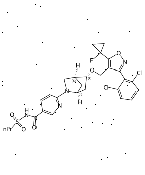 CCCS(=O)(=O)NC(=O)c1ccc(N2C[C@@H]3C[C@H]2C[C@H]3OCc2c(-c3c(Cl)cccc3Cl)noc2C2(F)CC2)nc1